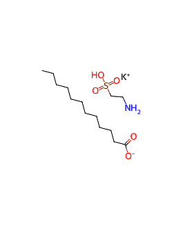 CCCCCCCCCCCC(=O)[O-].NCCS(=O)(=O)O.[K+]